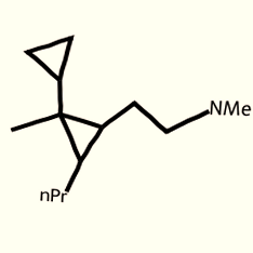 CCCC1C(CCNC)C1(C)C1CC1